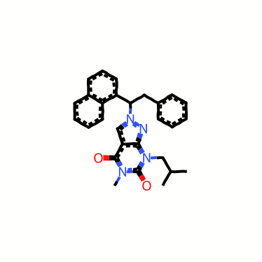 CC(C)Cn1c(=O)n(C)c(=O)c2cn(C(Cc3ccccc3)c3cccc4ccccc34)nc21